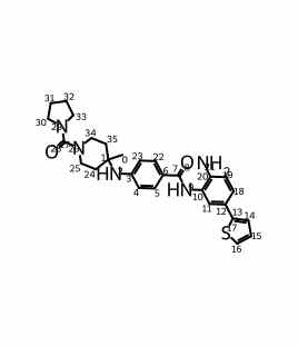 CC1(Nc2ccc(C(=O)Nc3cc(-c4cccs4)ccc3N)cc2)CCN(C(=O)N2CCCC2)CC1